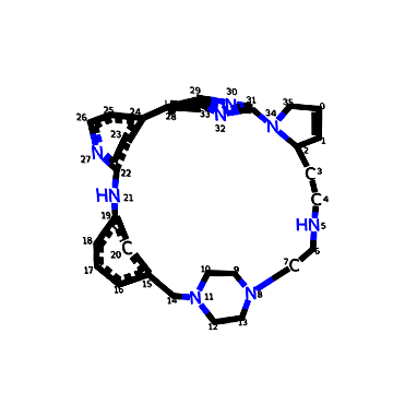 C1=CC2CCNCCN3CCN(CC3)Cc3cccc(c3)Nc3cc(ccn3)-c3cnc(nc3)N2C1